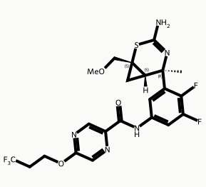 COC[C@]12C[C@H]1[C@](C)(c1cc(NC(=O)c3cnc(OCCC(F)(F)F)cn3)cc(F)c1F)N=C(N)S2